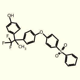 CC(c1ccc(O)cc1)(c1ccc(Oc2ccc(S(=O)(=O)c3ccccc3)cc2)cc1)C(F)(F)F